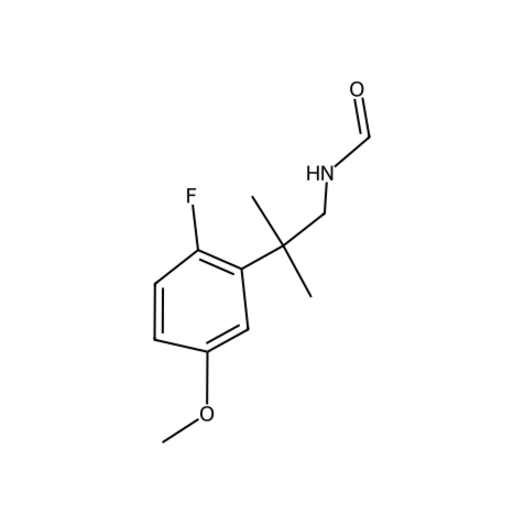 COc1ccc(F)c(C(C)(C)CNC=O)c1